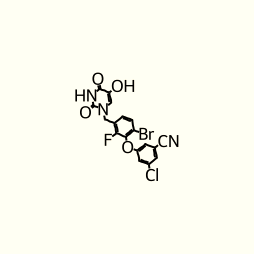 N#Cc1cc(Cl)cc(Oc2c(Br)ccc(Cn3cc(O)c(=O)[nH]c3=O)c2F)c1